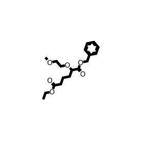 CCOC(=O)CCCC(OCCOC)C(=O)OCc1ccccc1